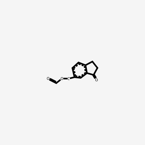 O=COCc1ccc2c(c1)C(=O)CC2